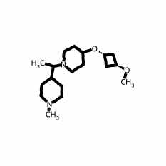 CO[C@H]1C[C@H](OC2CCN(C(C)C3CCN(C)CC3)CC2)C1